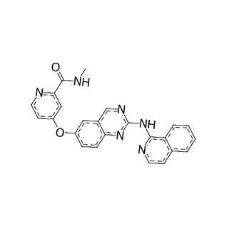 CNC(=O)c1cc(Oc2ccc3nc(Nc4nccc5ccccc45)ncc3c2)ccn1